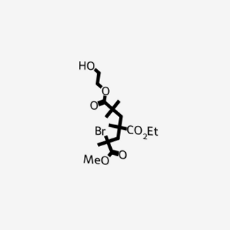 CCOC(=O)C(C)(CC(C)(C)C(=O)OCCO)CC(C)(Br)C(=O)OC